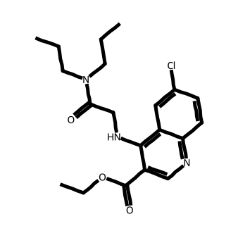 CCCN(CCC)C(=O)CNc1c(C(=O)OCC)cnc2ccc(Cl)cc12